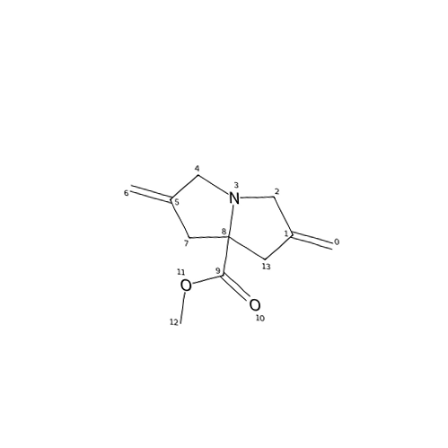 C=C1CN2CC(=C)CC2(C(=O)OC)C1